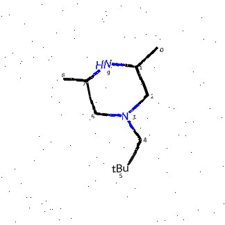 CC1CN(CC(C)(C)C)CC(C)N1